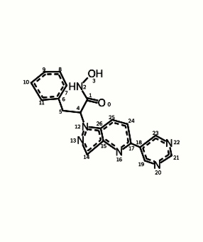 O=C(NO)C(Cc1ccccc1)n1ncc2nc(-c3cncnc3)ccc21